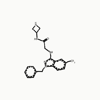 O=C(CNc1nn(Cc2ccccc2)c2ccc(C(F)(F)F)cc12)NC1CNC1